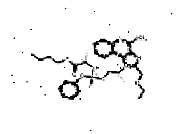 CCCCOC(=O)[C@H](C)N[P@](=O)(OC[C@@H](C)n1c(COCC)nc2c(N)nc3ccccc3c21)Oc1ccccc1